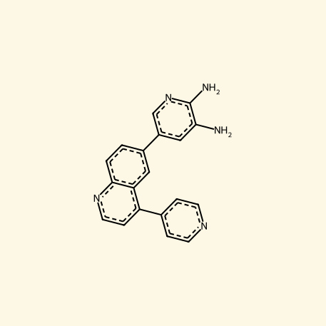 Nc1cc(-c2ccc3nccc(-c4ccncc4)c3c2)cnc1N